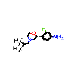 C[C](C)CN1CCO[C@H](c2ccc(N)cc2F)C1